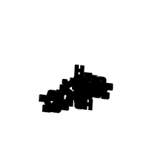 CC12C[C@@H](O)C3(C)C4=C(CC[C@]3(O)[C@@H]1CCC21OCCO1)CC1(CC4)OCCO1